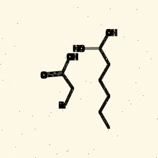 CCCCCC(O)O.O=C(O)CBr